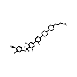 C=CCCC1CCC(C2COC(c3ccc(-c4cc(F)c(C(F)(F)Oc5ccc(C#N)c(F)c5)c(F)c4)c(F)c3)OC2)CC1